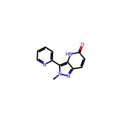 Cn1nc2ccc(=O)[nH]c2c1-c1ccccn1